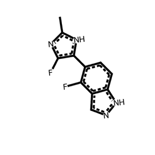 Cc1nc(F)c(-c2ccc3[nH]ncc3c2F)[nH]1